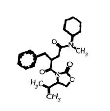 CC(C)C1COC(=O)N1C(=O)C(CC(=O)N(C)C1CCCCC1)Cc1ccccc1